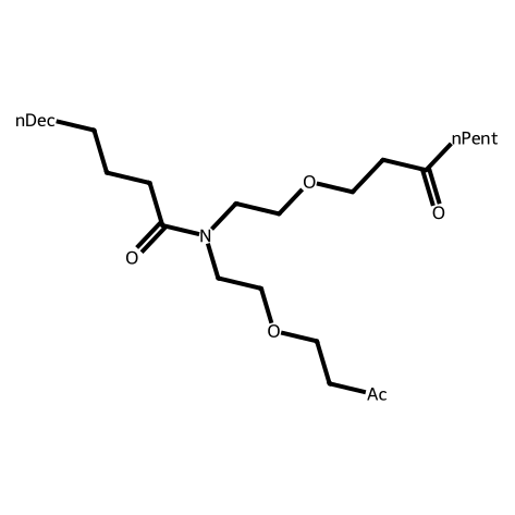 CCCCCCCCCCCCCC(=O)N(CCOCCC(C)=O)CCOCCC(=O)CCCCC